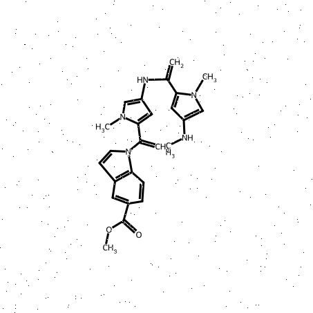 C=C(Nc1cc(C(=C)n2ccc3cc(C(=O)OC)ccc32)n(C)c1)c1cc(NC)cn1C